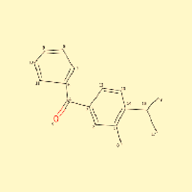 Cc1cc(C(=O)c2ccccc2)ccc1C(C)C